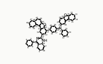 C1=CC2=C(c3ccccc3)N=C(c3cc(-c4ccc(N(c5ccccc5)c5ccc6oc7ccccc7c6c5)cc4)c4oc5ccc6ccccc6c5c4c3)NC2C=C1